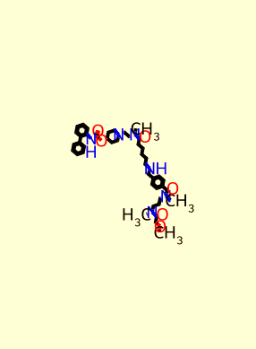 COCC(=O)N(C)CCCN(C)C(=O)c1ccc(CNCCCCCC(=O)N(C)CCN2CCC(OC(=O)Nc3ccccc3-c3ccccc3)CC2)cc1